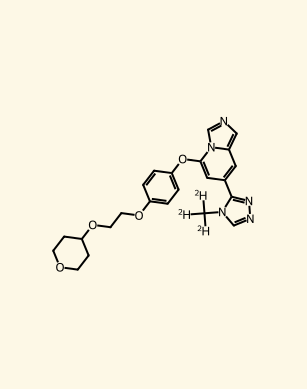 [2H]C([2H])([2H])n1cnnc1-c1cc(Oc2ccc(OCCOC3CCOCC3)cc2)n2cncc2c1